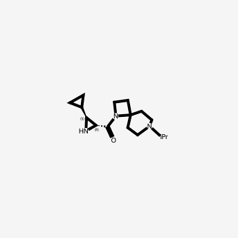 CC(C)N1CCC2(CC1)CCN2C(=O)[C@@H]1N[C@H]1C1CC1